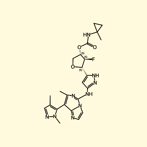 Cc1cnn(C)c1-c1c(C)nc(Nc2cc([C@@H]3OC[C@H](OC(=O)NC4(C)CC4)[C@H]3F)[nH]n2)n2ccnc12